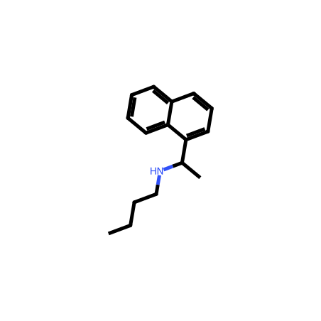 CCCCNC(C)c1cccc2ccccc12